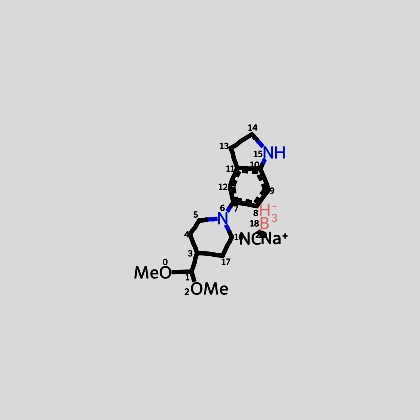 COC(OC)C1CCN(c2ccc3c(c2)CCN3)CC1.[BH3-]C#N.[Na+]